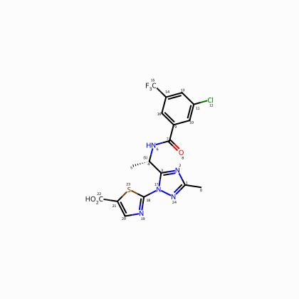 Cc1nc([C@H](C)NC(=O)c2cc(Cl)cc(C(F)(F)F)c2)n(-c2ncc(C(=O)O)s2)n1